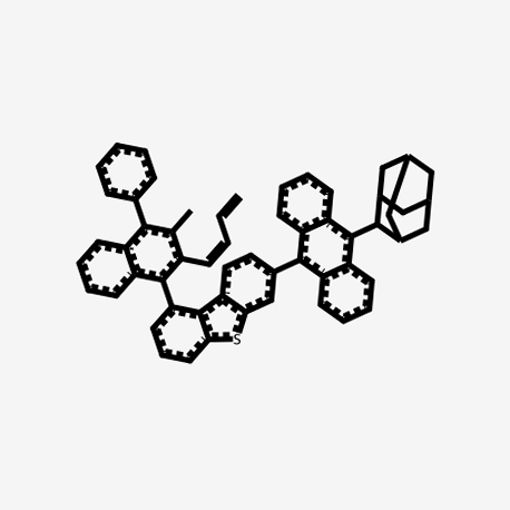 C=C/C=C\c1c(C)c(-c2ccccc2)c2ccccc2c1-c1cccc2sc3cc(-c4c5ccccc5c(C5C6CC7CC(C6)CC5C7)c5ccccc45)ccc3c12